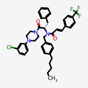 CCCCCc1ccc(CN(C(=O)/C=C/c2ccc(C(F)(F)F)cc2)[C@@H](Cc2ccccc2)C(=O)N2CCN(c3cccc(Cl)c3)CC2)cc1